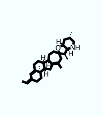 CC=C1C=C2CC[C@H]3[C@@H]4CCC5(CC(C)=C4C[C@@H]3[C@@]2(C)CC1)O[C@@H]1C[C@H](C)CN[C@H]1[C@H]5C